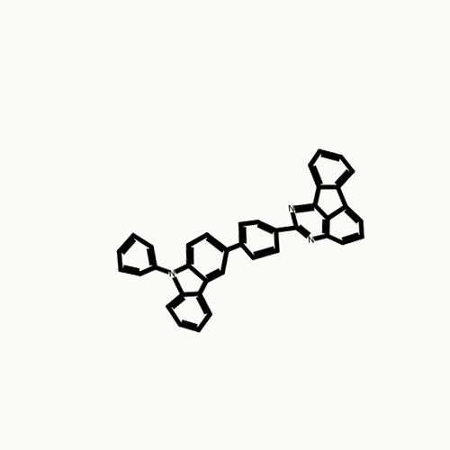 c1ccc(-n2c3ccccc3c3cc(-c4ccc(-c5nc6c7c(cccc7n5)-c5ccccc5-6)cc4)ccc32)cc1